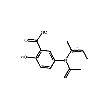 C=C(C)N(/C(C)=C\C)c1ccc(O)c(C(=O)N=O)c1